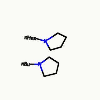 CCCCCCN1CCCC1.CCCCN1CCCC1